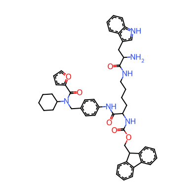 NC(Cc1c[nH]c2ccccc12)C(=O)NCCCCC(NC(=O)OCC1c2ccccc2-c2ccccc21)C(=O)Nc1ccc(CN(C(=O)c2ccco2)C2CCCCC2)cc1